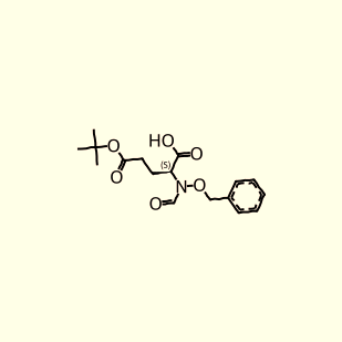 CC(C)(C)OC(=O)CC[C@@H](C(=O)O)N(C=O)OCc1ccccc1